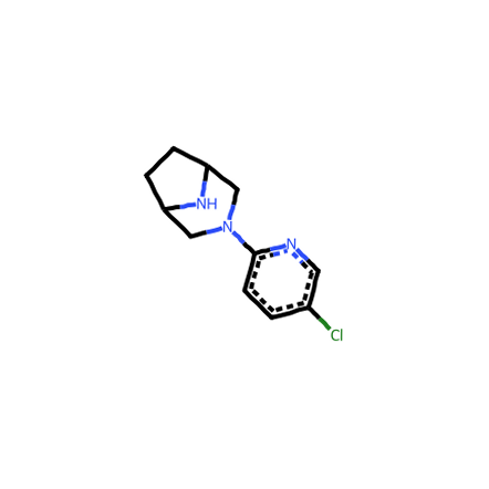 Clc1ccc(N2CC3CCC(C2)N3)nc1